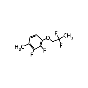 Cc1ccc(OCC(C)(F)F)c(F)c1F